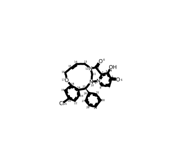 O=C1c2c(O)c(=O)ccn2N2CN1C/C=C\COc1cc(Cl)ccc1[C@@H]2c1ccccc1